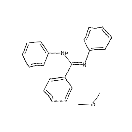 [CH3][In][CH3].c1ccc(N=C(Nc2ccccc2)c2ccccc2)cc1